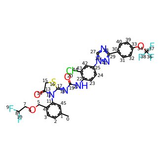 Cc1ccc(COCC(F)F)c(N2C(=O)CSC2=NC(=O)Nc2ccc(-n3cnc(-c4ccc(OC(F)(F)F)cc4)n3)cc2Cl)c1